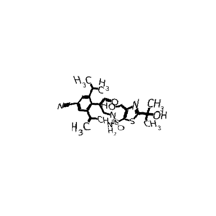 CC(C)c1cc(C#N)cc(C(C)C)c1C(C=O)CN=[S@@](N)(=O)c1sc(C(C)(C)O)nc1CO